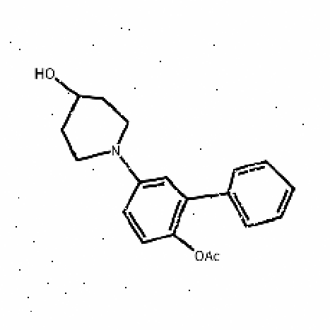 CC(=O)Oc1ccc(N2CCC(O)CC2)cc1-c1ccccc1